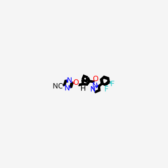 N#Cc1cnc(OC[C@@H]2CC(C(=O)N3N=CCC3c3cccc(F)c3F)C3CC2C3)cn1